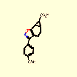 COc1ccc(-c2noc3c2CCC2C(C(=O)O)C32)cc1